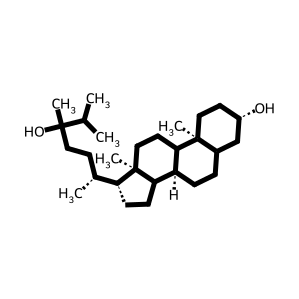 CC(C)C(C)(O)CC[C@@H](C)[C@H]1CCC2[C@@H]3CCC4C[C@@H](O)CC[C@]4(C)C3CC[C@@]21C